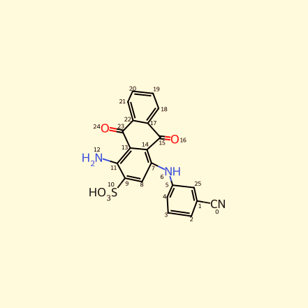 N#Cc1cccc(Nc2cc(S(=O)(=O)O)c(N)c3c2C(=O)c2ccccc2C3=O)c1